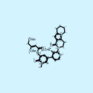 CN/C(=C\C(=N)Nc1cc(-c2ccnc(N3CCc4c(cc5n4CCCC5)C3=O)c2C=O)cn(C)c1=O)COC